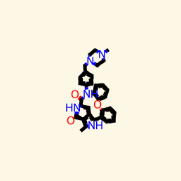 Cc1[nH]c(-c2ccccc2Oc2ccccc2)c2cc(C(=O)Nc3ccc(CN4CCN(C)CC4)cc3)[nH]c(=O)c12